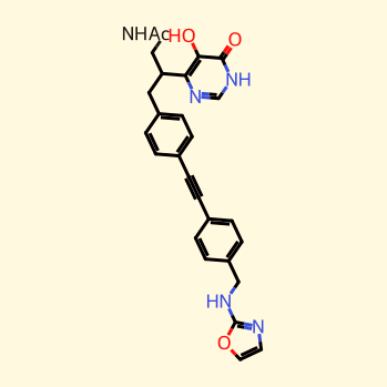 CC(=O)NCC(Cc1ccc(C#Cc2ccc(CNc3ncco3)cc2)cc1)c1nc[nH]c(=O)c1O